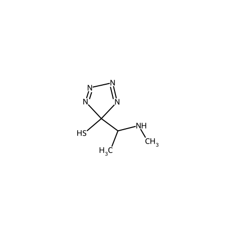 CNC(C)C1(S)N=NN=N1